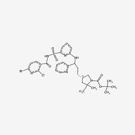 CC(C)(C)OC(=O)N1C[C@@H](CCC(Nc2cccc(S(=O)(=O)NC(=O)c3ccc(Br)nc3Cl)n2)c2ccccn2)CC1(C)C